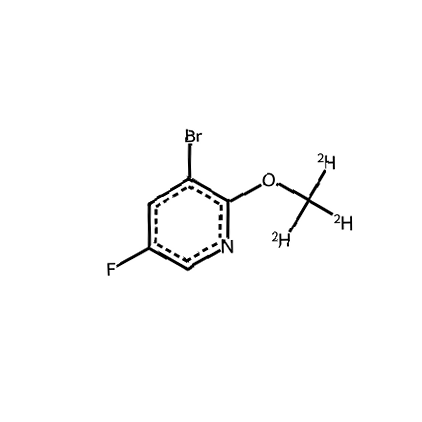 [2H]C([2H])([2H])Oc1ncc(F)cc1Br